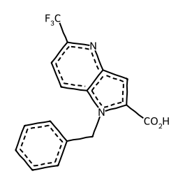 O=C(O)c1cc2nc(C(F)(F)F)ccc2n1Cc1ccccc1